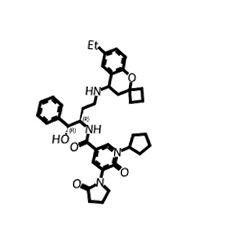 CCc1ccc2c(c1)C(NCC[C@@H](NC(=O)c1cc(N3CCCC3=O)c(=O)n(C3CCCC3)c1)[C@H](O)c1ccccc1)CC1(CCC1)O2